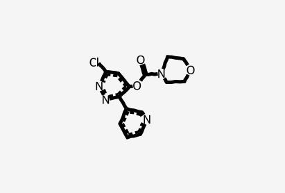 O=C(Oc1cc(Cl)nnc1-c1cccnc1)N1CCOCC1